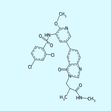 CNC(=O)C(C)Cn1cnc2ccc(-c3cnc(OC)c(NS(=O)(=O)c4ccc(Cl)cc4Cl)c3)cc2c1=O